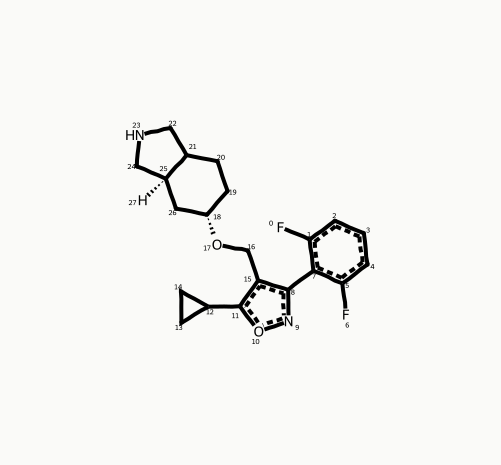 Fc1cccc(F)c1-c1noc(C2CC2)c1CO[C@H]1CCC2CNC[C@@H]2C1